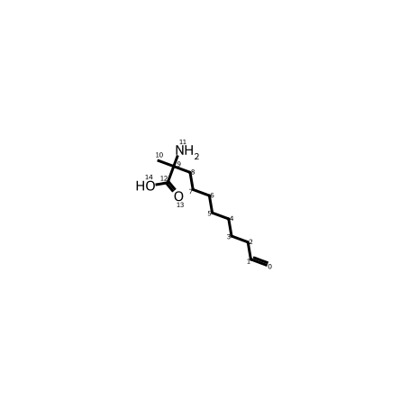 C=CCCCCCCCC(C)(N)C(=O)O